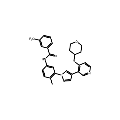 Cc1ccc(NC(=O)c2cccc(C(F)(F)F)c2)cc1-n1cc(-c2cnccc2OC2CCOCC2)cn1